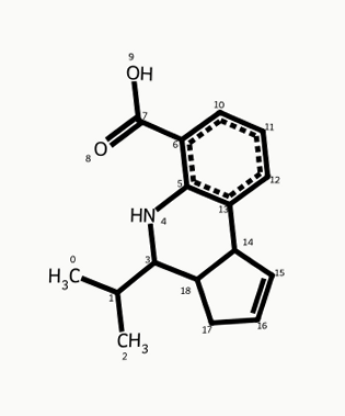 CC(C)C1Nc2c(C(=O)O)cccc2C2C=CCC21